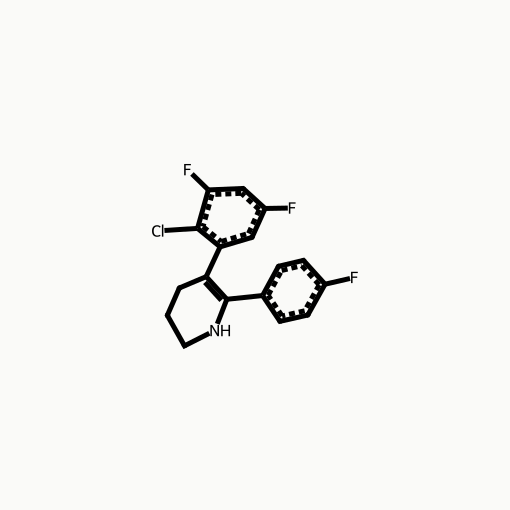 Fc1ccc(C2=C(c3cc(F)cc(F)c3Cl)CCCN2)cc1